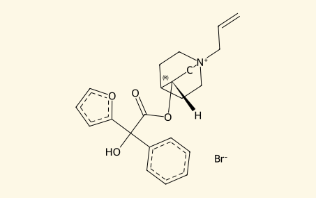 C=CC[N+]12CCC(CC1)[C@@H](OC(=O)C(O)(c1ccccc1)c1ccco1)C2.[Br-]